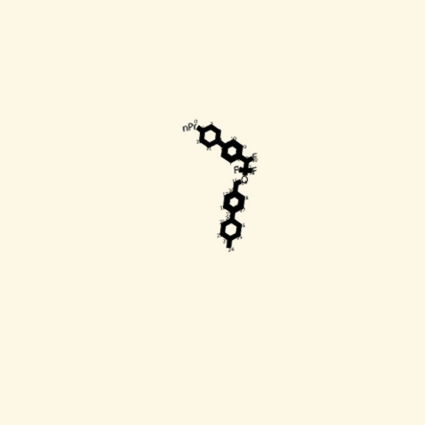 CCCC1CCC(c2ccc(C(F)C(F)(F)OCc3ccc(C4CCC(C)CC4)cc3)cc2)CC1